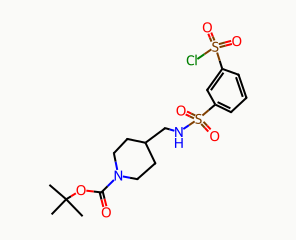 CC(C)(C)OC(=O)N1CCC(CNS(=O)(=O)c2cccc(S(=O)(=O)Cl)c2)CC1